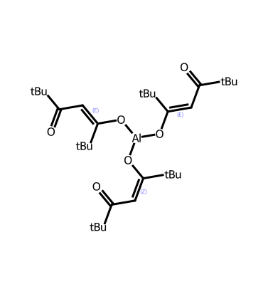 CC(C)(C)C(=O)/C=C(\[O][Al]([O]/C(=C/C(=O)C(C)(C)C)C(C)(C)C)[O]/C(=C/C(=O)C(C)(C)C)C(C)(C)C)C(C)(C)C